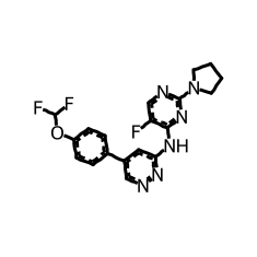 Fc1cnc(N2CCCC2)nc1Nc1cc(-c2ccc(OC(F)F)cc2)cnn1